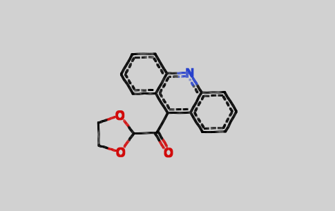 O=C(c1c2ccccc2nc2ccccc12)C1OCCO1